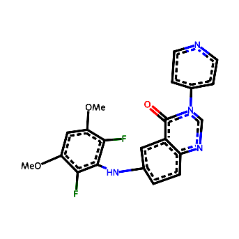 COc1cc(OC)c(F)c(Nc2ccc3ncn(-c4ccncc4)c(=O)c3c2)c1F